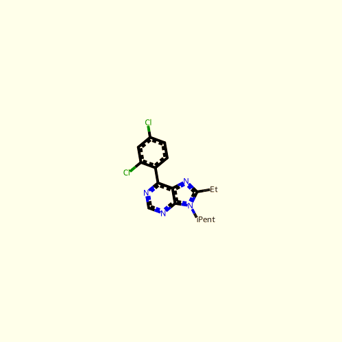 CCCC(C)n1c(CC)nc2c(-c3ccc(Cl)cc3Cl)ncnc21